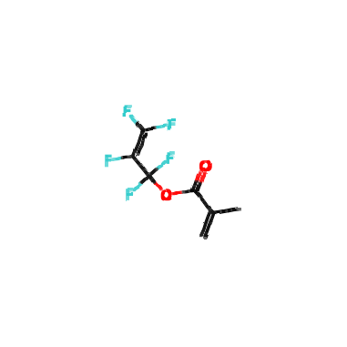 C=C(C)C(=O)OC(F)(F)C(F)=C(F)F